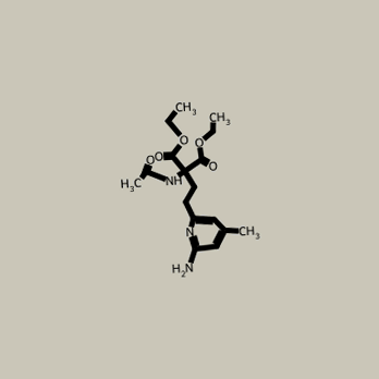 CCOC(=O)C(CCc1cc(C)cc(N)n1)(NC(C)=O)C(=O)OCC